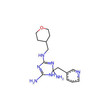 NC1=NC(NCC2CCOCC2)=NC(N)(Cc2cccnc2)N1